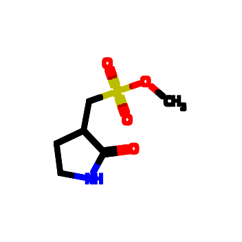 COS(=O)(=O)CC1CCNC1=O